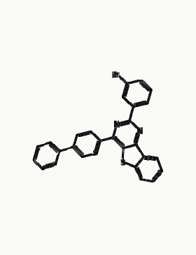 Brc1cccc(-c2nc(-c3ccc(-c4ccccc4)cc3)c3sc4ccccc4c3n2)c1